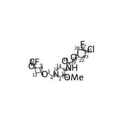 CO[C@@H]1CN(CCO[C@H]2C[C@@H](OC(F)(F)F)C2)CCC1NC(=O)COc1ccc(Cl)c(F)c1